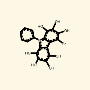 Oc1c(O)c(O)c2c(c1O)c1c(Br)c(O)c(O)c(O)c1n2-c1ccccc1